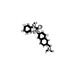 CN(C)CC1CCc2cc(NC(=O)N(C)c3ccccc3)ccc2C1